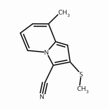 CSc1cc2c(C)cccn2c1C#N